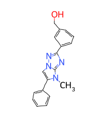 Cn1c(-c2ccccc2)cn2nc(-c3cccc(CO)c3)nc12